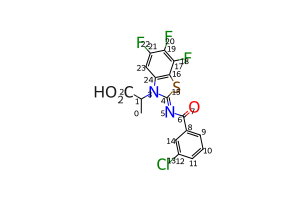 CC(C(=O)O)n1c(=NC(=O)c2cccc(Cl)c2)sc2c(F)c(F)c(F)cc21